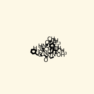 CC(C)(C)OC(=O)NC(C)(C)C(=O)N[C@H](COCc1ccccc1)C(=O)N1CCN2C(O)C(C)(C)C(O)[C@]2(Cc2ccc(F)cc2)C1